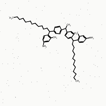 CCCCCCCCCCCCC(c1ccc(C(C)c2ccc(C(CCCCCCCCCCCC)c3ccc(N)cc3C)cc2)cc1)c1ccc(N)cc1C